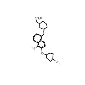 O=C(O)CC1CCCN(Cc2cccc3c(C(F)(F)F)c(OC4CCC(C(F)(F)F)CC4)ccc23)C1